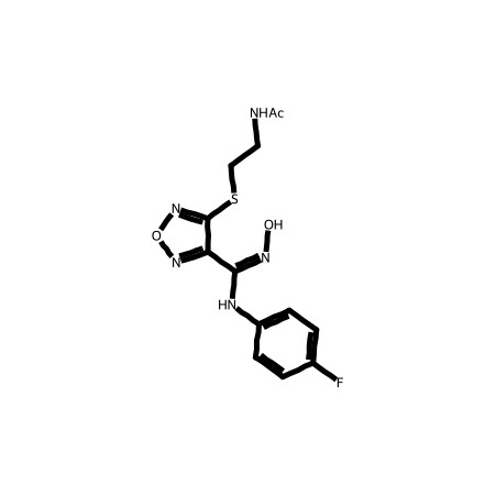 CC(=O)NCCSc1nonc1C(=NO)Nc1ccc(F)cc1